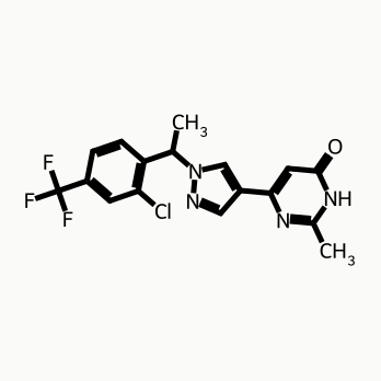 Cc1nc(-c2cnn(C(C)c3ccc(C(F)(F)F)cc3Cl)c2)cc(=O)[nH]1